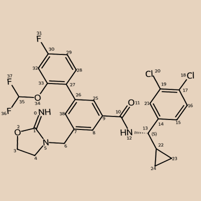 N=C1OCCN1Cc1cc(C(=O)N[C@H](c2ccc(Cl)c(Cl)c2)C2CC2)cc(-c2ccc(F)cc2OC(F)F)c1